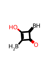 B=C1C(=O)C(B)=C1O